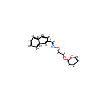 C(=NOCCOC1CCCCO1)c1ccc2ccccc2c1